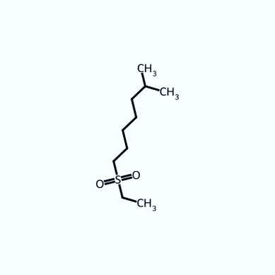 CCS(=O)(=O)CCCCCC(C)C